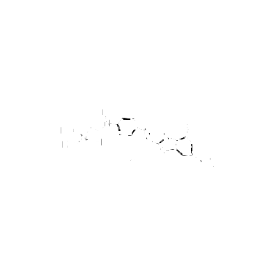 CCN(CC[N+](C)(C)C)c1ccc(/N=N/c2nc3c(Cl)cc([N+](=O)[O-])cc3s2)cc1.[Br-]